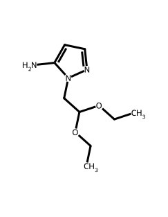 CCOC(Cn1nccc1N)OCC